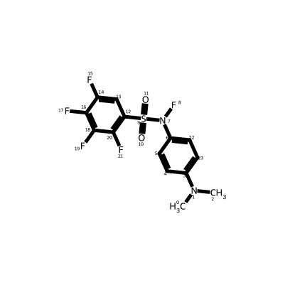 CN(C)c1ccc(N(F)S(=O)(=O)c2cc(F)c(F)c(F)c2F)cc1